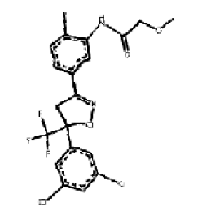 COCC(=O)Nc1cc(C2=NOC(c3cc(Cl)cc(Cl)c3)(C(F)(F)F)C2)ccc1C